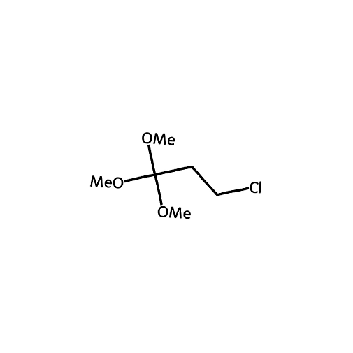 COC(CCCl)(OC)OC